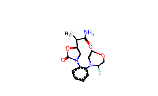 CC(C(N)=O)C1CN(c2ccccc2N2CCOCC2F)C(=O)O1